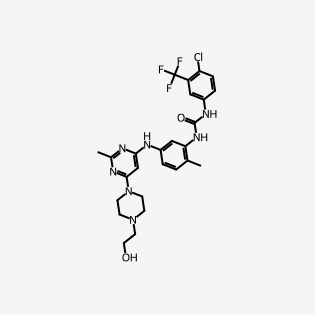 Cc1nc(Nc2ccc(C)c(NC(=O)Nc3ccc(Cl)c(C(F)(F)F)c3)c2)cc(N2CCN(CCO)CC2)n1